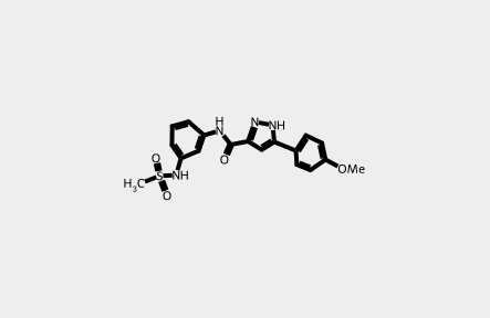 COc1ccc(-c2cc(C(=O)Nc3cccc(NS(C)(=O)=O)c3)n[nH]2)cc1